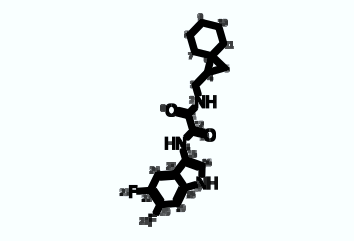 O=C(NCC1CC12CCCCC2)C(=O)Nc1c[nH]c2cc(F)c(F)cc12